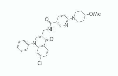 COC1CCN(c2ccc(C(=O)NCc3cn(-c4ccccc4)c4cc(Cl)ccc4c3=O)cn2)CC1